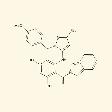 COc1ccc(Cn2nc(C(C)(C)C)cc2Nc2cc(O)cc(O)c2C(=O)n2cc3ccccc3c2)cc1